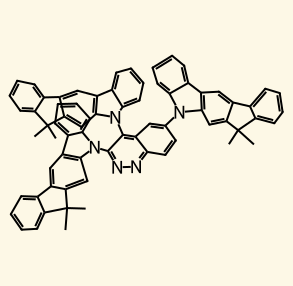 CC1(C)c2ccccc2-c2cc3c4ccccc4n(-c4ccc5nnc(-n6c7ccccc7c7cc8c(cc76)C(C)(C)c6ccccc6-8)c(-n6c7ccccc7c7cc8c(cc76)C(C)(C)c6ccccc6-8)c5c4)c3cc21